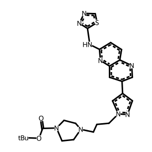 CC(C)(C)OC(=O)N1CCN(CCCn2cc(-c3cnc4ccc(Nc5nncs5)nc4c3)cn2)CC1